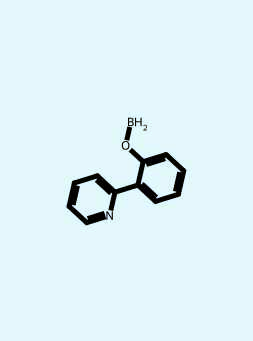 BOc1ccccc1-c1ccccn1